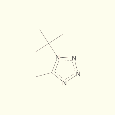 Cc1nnnn1C(C)(C)C